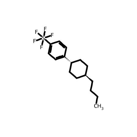 CCCC[C@H]1CC[C@H](c2ccc(S(F)(F)(F)(F)F)cc2)CC1